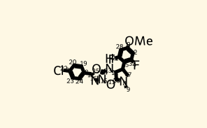 COc1cc(F)c(C2CN(C)C(=O)[C@@H]2Nc2nnc(-c3ccc(Cl)cc3)o2)c(F)c1